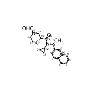 CC(c1ccc2ccccc2c1)N(C(=O)C1CN(C=O)CCO1)C1CC1